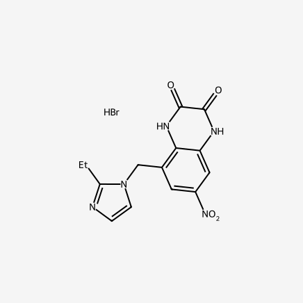 Br.CCc1nccn1Cc1cc([N+](=O)[O-])cc2[nH]c(=O)c(=O)[nH]c12